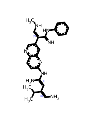 CN/C=C(\C(=N)Nc1ccccc1)c1cnc2ccc(N/C(N)=C/C(=C\N)C(C)C)nc2c1